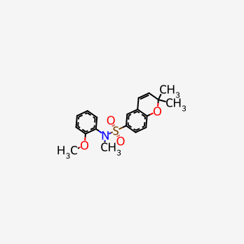 COc1ccccc1N(C)S(=O)(=O)c1ccc2c(c1)C=CC(C)(C)O2